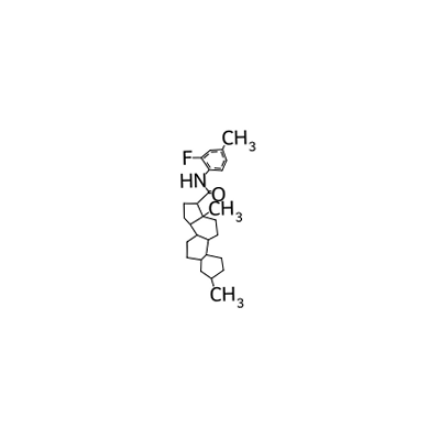 Cc1ccc(NC(=O)C2CCC3C4CCC5CC(C)CCC5C4CCC23C)c(F)c1